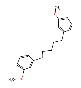 COc1cccc(CCCCCc2cccc(OC)c2)c1